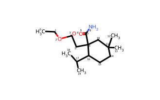 CCOC(=O)CC1(C(N)=O)CC(C)(C)CCC1C(C)C